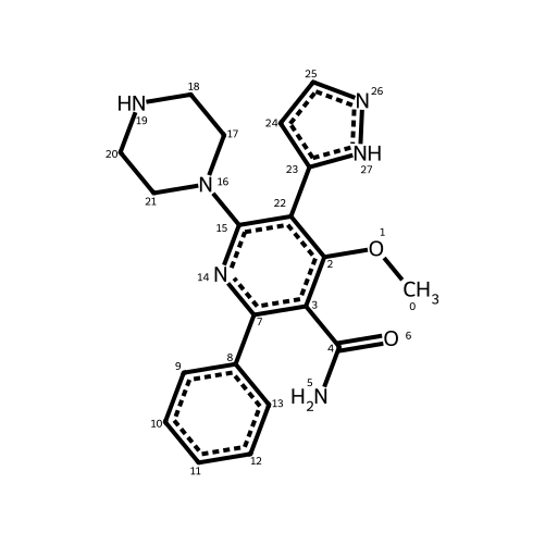 COc1c(C(N)=O)c(-c2ccccc2)nc(N2CCNCC2)c1-c1ccn[nH]1